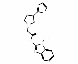 Cn1c(NC(=O)CN2CCC(c3nccs3)C2)nc2ccccc21